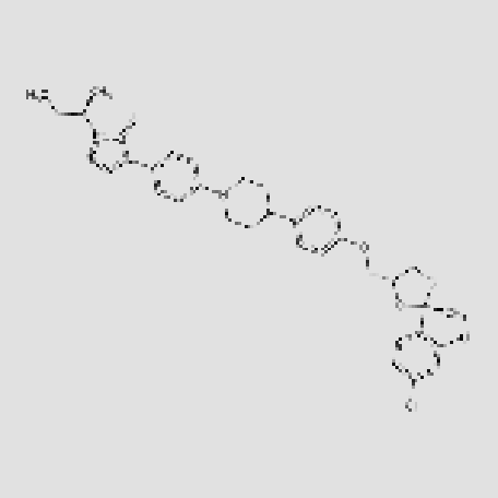 CC[C@@H](C)n1ncn(-c2ccc(N3CCN(c4ccc(OC[C@@H]5CO[C@](C)(c6ccc(Cl)cc6Cl)O5)cc4)CC3)cc2)c1=O